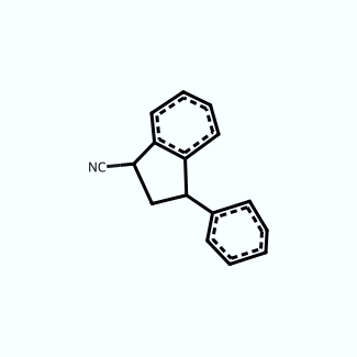 N#CC1CC(c2ccccc2)c2ccccc21